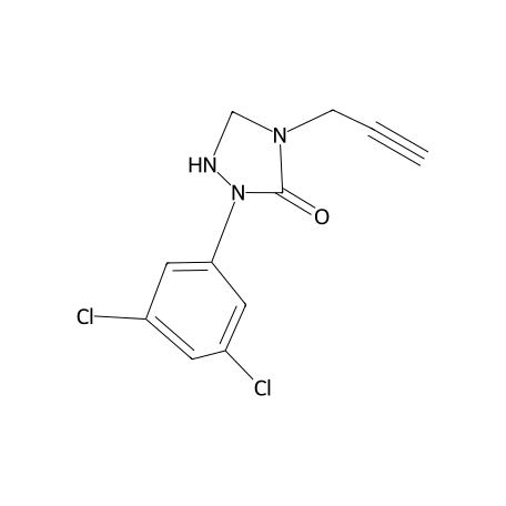 C#CCN1CNN(c2cc(Cl)cc(Cl)c2)C1=O